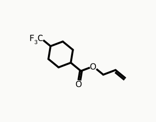 C=CCOC(=O)C1CCC(C(F)(F)F)CC1